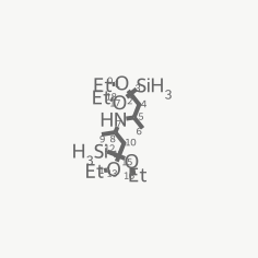 CCOC([SiH3])(CC(C)NC(C)CC([SiH3])(OCC)OCC)OCC